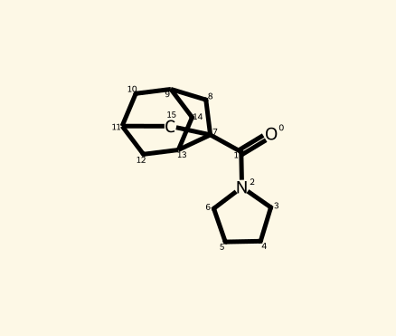 O=C(N1CCCC1)C12CC3CC(CC1C3)C2